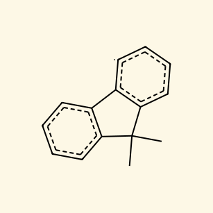 CC1(C)c2ccc[c]c2-c2ccccc21